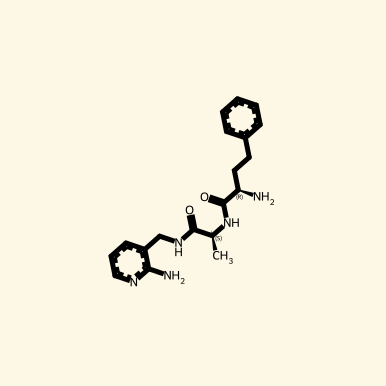 C[C@H](NC(=O)[C@H](N)CCc1ccccc1)C(=O)NCc1cccnc1N